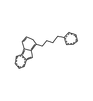 C1=CC2=c3ccccc3=CC2=C(CCCCc2ccccc2)C1